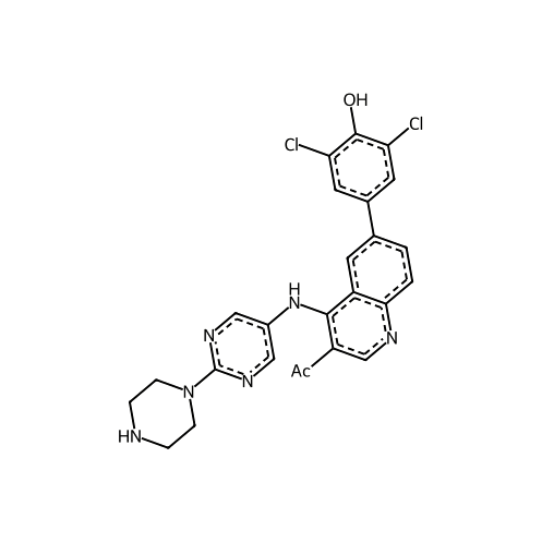 CC(=O)c1cnc2ccc(-c3cc(Cl)c(O)c(Cl)c3)cc2c1Nc1cnc(N2CCNCC2)nc1